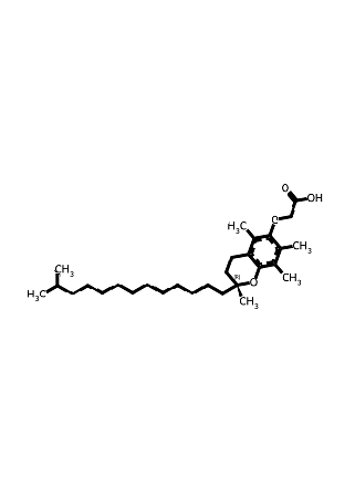 Cc1c(C)c2c(c(C)c1OCC(=O)O)CC[C@@](C)(CCCCCCCCCCCC(C)C)O2